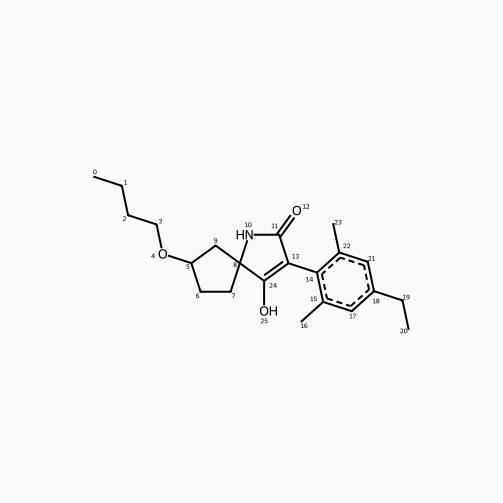 CCCCOC1CCC2(C1)NC(=O)C(c1c(C)cc(CC)cc1C)=C2O